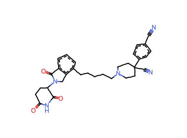 N#Cc1ccc(C2(C#N)CCN(CCCCCc3cccc4c3CN(C3CCC(=O)NC3=O)C4=O)CC2)cc1